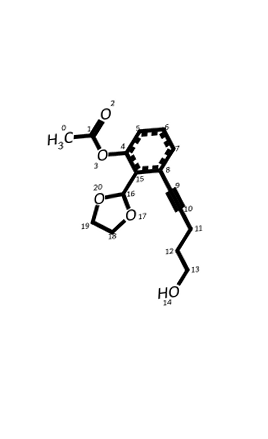 CC(=O)Oc1cccc(C#CCCCO)c1C1OCCO1